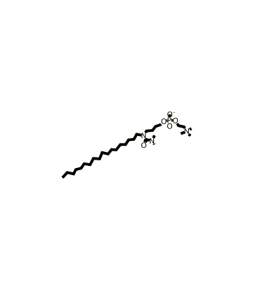 CCCCCCCCCCCCCCCCCCN(CCCCOP(=O)([O-])OCC[N+](C)(C)C)C(=O)N(C)C